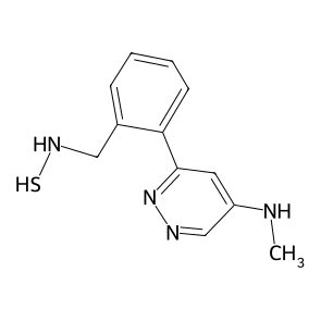 CNc1cnnc(-c2ccccc2CNS)c1